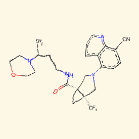 CC(CCNC(=O)[C@]12CN(c3ccc(C#N)c4ncccc34)C[C@@]1(C(F)(F)F)C2)N1CCOCC1